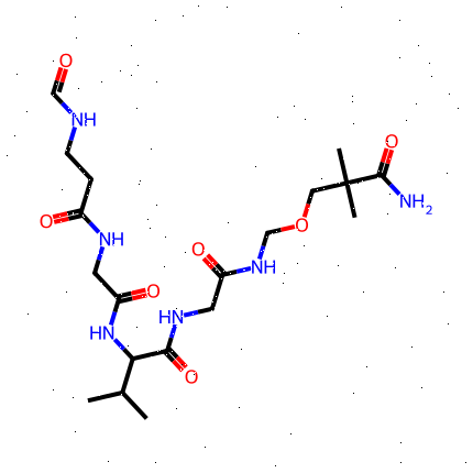 CC(C)C(NC(=O)CNC(=O)CCNC=O)C(=O)NCC(=O)NCOCC(C)(C)C(N)=O